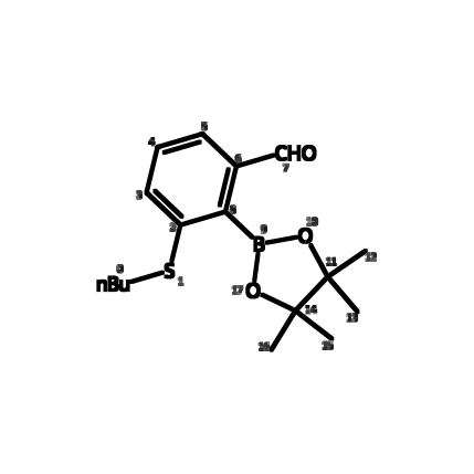 CCCCSc1cccc(C=O)c1B1OC(C)(C)C(C)(C)O1